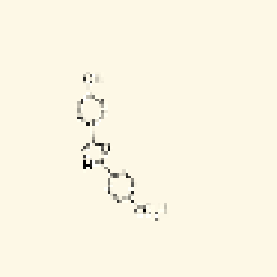 O=C(O)c1ccc(-c2ncc(-c3ccc(O)cc3)o2)cc1